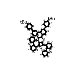 CC(C)(C)c1ccc(-c2ccc3c(c2)c2cc(-c4ccc(C(C)(C)C)cc4)ccc2c2nc4c(-c5cccc6sc7ccccc7c56)sc(-c5cccc6sc7ccccc7c56)c4nc32)cc1